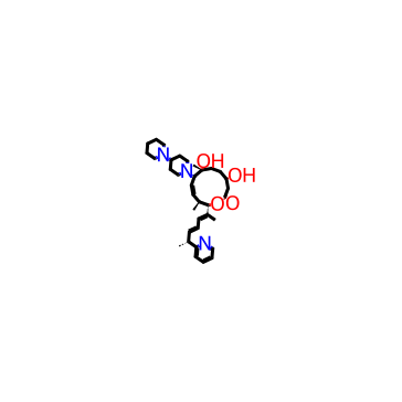 CC(=CC=C[C@@H](C)c1ccccn1)[C@H]1OC(=O)C[C@H](O)CC[C@@](C)(O)[C@@H](N2CCC(N3CCCCC3)CC2)C=C[C@@H]1C